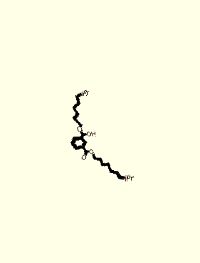 CC(C)CCCCCCCOC(=O)c1cccc(C(O)OCCCCCCC(C)C)c1